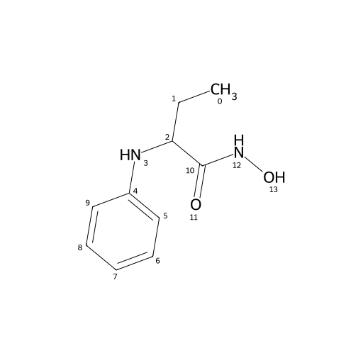 CCC(Nc1ccccc1)C(=O)NO